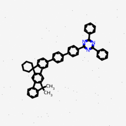 CC1(C)c2ccccc2-c2cc3c(cc21)-c1cc(-c2ccc(-c4ccc(-c5nc(-c6ccccc6)nc(-c6ccccc6)n5)cc4)cc2)ccc1C31CCCCC1